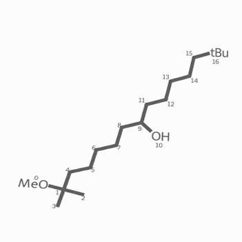 COC(C)(C)CCCCCC(O)CCCCCC(C)(C)C